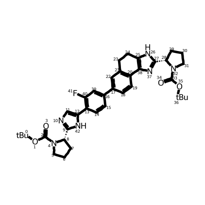 CC(C)(C)OC(=O)N1CCC[C@H]1c1ncc(-c2ccc(-c3ccc4c(c3)CCc3[nH]c([C@@H]5CCCN5C(=O)OC(C)(C)C)nc3-4)cc2F)[nH]1